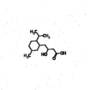 CC1CCC(C(C)C)C(CC(O)CC(=O)O)C1